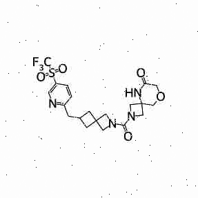 O=C1COCC2(CN(C(=O)N3CC4(CC(Cc5ccc(S(=O)(=O)C(F)(F)F)cn5)C4)C3)C2)N1